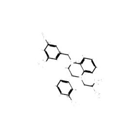 O[C@H](CN1c2ccccc2N(Cc2cc(F)cc(C(F)(F)F)c2)C[C@H]1c1cccc(C(F)(F)F)c1)C(F)(F)F